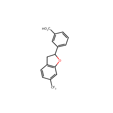 O=C(O)c1cccc(C2Cc3ccc(C(F)(F)F)cc3O2)c1